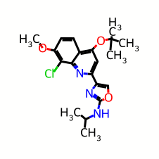 COc1ccc2c(OC(C)(C)C)cc(-c3coc(NC(C)C)n3)nc2c1Cl